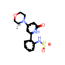 C[C@@H]1COCCN1c1cc(-c2ccccc2N[SH](=O)=O)[nH]c(=O)c1